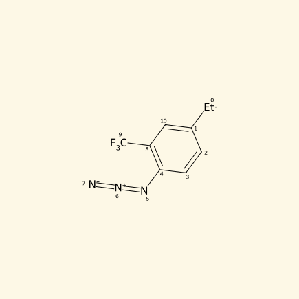 C[CH]c1ccc(N=[N+]=[N-])c(C(F)(F)F)c1